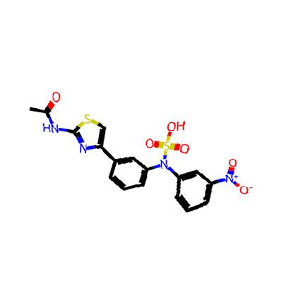 CC(=O)Nc1nc(-c2cccc(N(c3cccc([N+](=O)[O-])c3)S(=O)(=O)O)c2)cs1